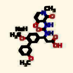 COc1cccc(-c2cc([C@H](CC(=O)O)NC(=O)NC3C(=O)C=CN(C)C3=O)ccc2OC)c1.[NaH]